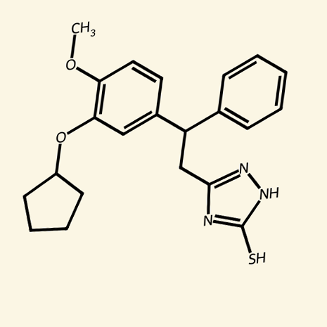 COc1ccc(C(Cc2n[nH]c(S)n2)c2ccccc2)cc1OC1CCCC1